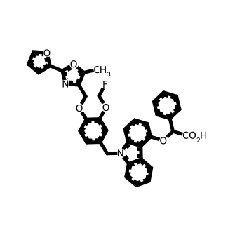 Cc1oc(-c2ccco2)nc1COc1ccc(Cn2c3ccccc3c3c(OC(C(=O)O)c4ccccc4)cccc32)cc1OCF